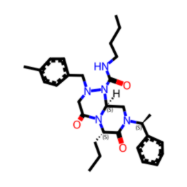 CCCCNC(=O)N1[C@H]2CN([C@@H](C)c3ccccc3)C(=O)[C@H](CCC)N2C(=O)CN1Cc1ccc(C)cc1